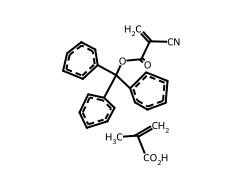 C=C(C#N)C(=O)OC(c1ccccc1)(c1ccccc1)c1ccccc1.C=C(C)C(=O)O